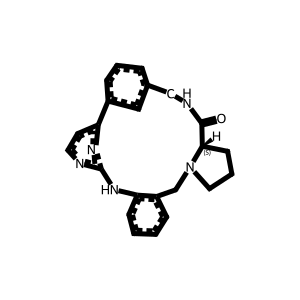 O=C1NCc2cccc(c2)-c2ccnc(n2)Nc2ccccc2CN2CCC[C@@H]12